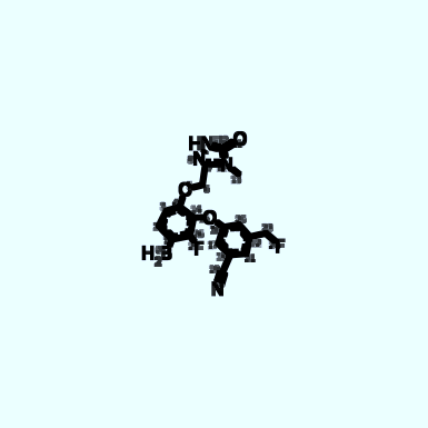 Bc1ccc(OCc2n[nH]c(=O)n2C)c(Oc2cc(C#N)cc(CF)c2)c1F